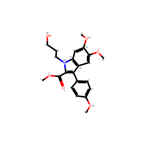 COC(=O)c1c(-c2ccc(OC)cc2)c2cc(OC)c(OC)cc2n1CCCO